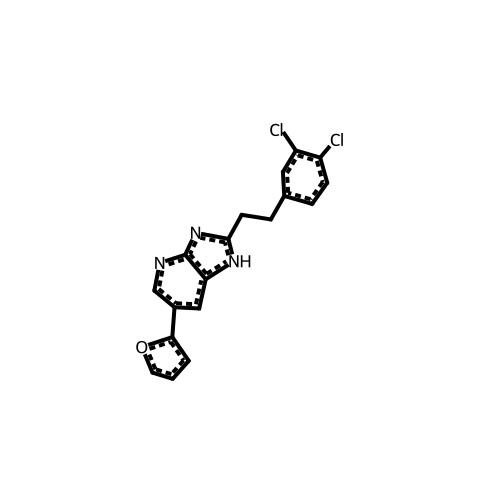 Clc1ccc(CCc2nc3ncc(-c4ccco4)cc3[nH]2)cc1Cl